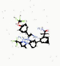 Cc1cc(C(F)(F)F)nn1-c1ccc(-c2cccc(C(C)(C)C(N)=O)c2)cc1N(N)/C(=C\N)c1ccc(OC(F)(F)F)cc1